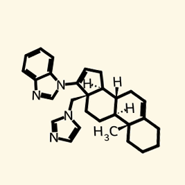 C[C@]12CCCCC1=CC[C@H]1[C@@H]3CC=C(n4cnc5ccccc54)[C@@]3(Cn3ccnc3)CC[C@@H]12